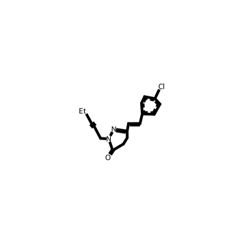 CCC#CCN1N=C(C=Cc2ccc(Cl)cc2)CCC1=O